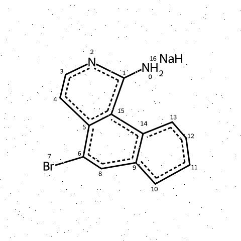 Nc1nccc2c(Br)cc3ccccc3c12.[NaH]